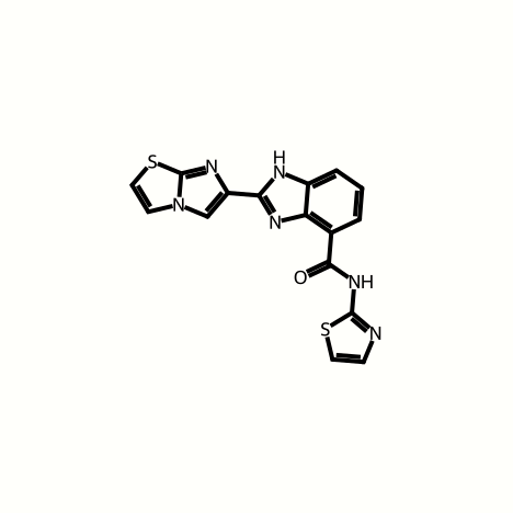 O=C(Nc1nccs1)c1cccc2[nH]c(-c3cn4ccsc4n3)nc12